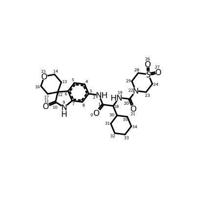 O=C(Nc1ccc2c(c1)NC(=O)C21CCOCC1)C(NC(=O)N1CCS(=O)(=O)CC1)C1CCCCC1